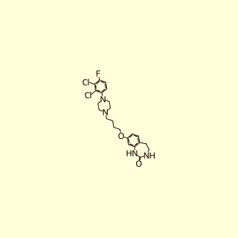 O=C1NCCc2ccc(OCCCCN3CCN(c4ccc(F)c(Cl)c4Cl)CC3)cc2N1